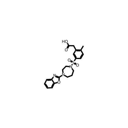 Cc1ccc(S(=O)(=O)N2CCCN(c3nc4ccccc4o3)CC2)cc1CC(=O)O